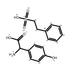 NC(C(=O)O)c1ccc(O)cc1.O=S(=O)(O)CCc1ccccc1